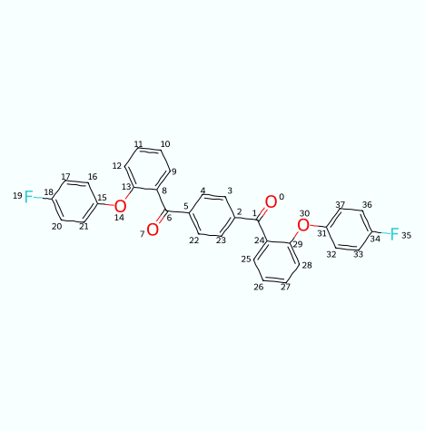 O=C(c1ccc(C(=O)c2ccccc2Oc2ccc(F)cc2)cc1)c1ccccc1Oc1ccc(F)cc1